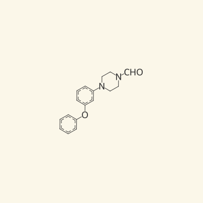 O=CN1CCN(c2cccc(Oc3ccccc3)c2)CC1